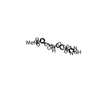 CNS(=O)(=O)c1cccc(OC[C@@H](O)CN[C@H]2COC3(CCN(S(=O)(=O)c4cnc5[nH]cnc5c4C)CC3)C2)c1